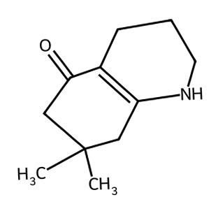 CC1(C)CC(=O)C2=C(C1)NCCC2